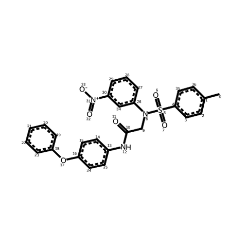 Cc1ccc(S(=O)(=O)N(CC(=O)Nc2ccc(Oc3ccccc3)cc2)c2cccc([N+](=O)[O-])c2)cc1